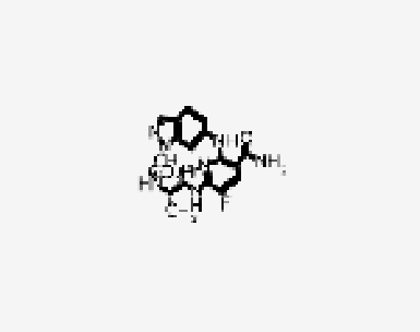 CC(C)[C@H](Nc1nc(Nc2ccc3cnn(C)c3c2)c(C(N)=O)cc1F)[C@H](C)NC(=O)O